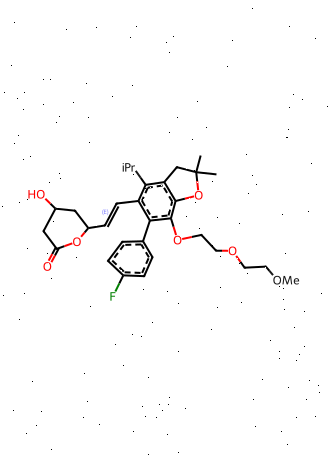 COCCOCCOc1c2c(c(C(C)C)c(/C=C/C3CC(O)CC(=O)O3)c1-c1ccc(F)cc1)CC(C)(C)O2